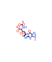 COC(=O)NC(C(=O)OC)C(O)Cc1c(C)nc2n1C(=O)C1N=CN(I)C1N2C